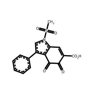 CS(=O)(=O)n1cc(-c2ccccc2)c2c1C=C(C(=O)O)C(=O)C2=O